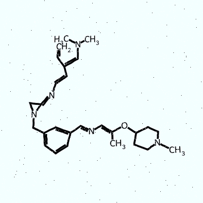 C=CC(/C=C/N=C1\CN1Cc1cccc(/C=N/C=C(\C)OC2CCN(C)CC2)c1)=C\N(C)C